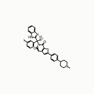 BC(c1nc2ccccc2[nH]1)(c1cc(I)ccc1O)n1ccc2cc(-c3ccc(C4CCN(C)CC4)cc3)sc2c1=O